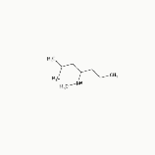 CCCC(CC(C)C)NC